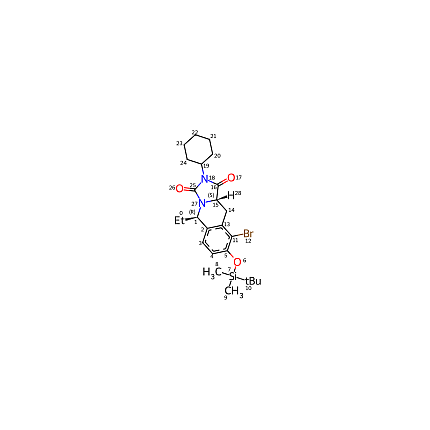 CC[C@@H]1c2ccc(O[Si](C)(C)C(C)(C)C)c(Br)c2C[C@H]2C(=O)N(C3CCCCC3)C(=O)N12